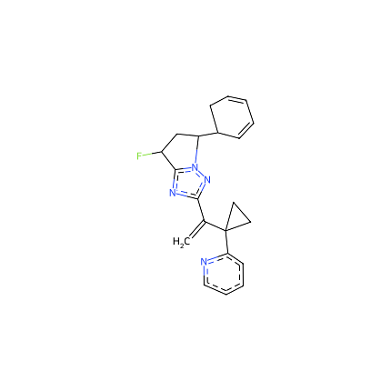 C=C(c1nc2n(n1)C(C1C=CC=CC1)CC2F)C1(c2ccccn2)CC1